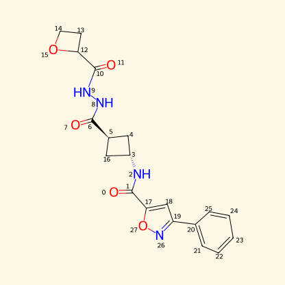 O=C(N[C@H]1C[C@H](C(=O)NNC(=O)C2CCO2)C1)c1cc(-c2ccccc2)no1